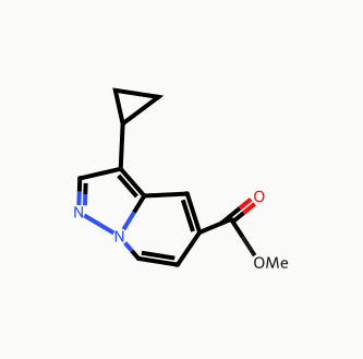 COC(=O)c1ccn2ncc(C3CC3)c2c1